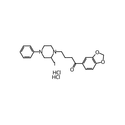 Cl.Cl.O=C(CCCN1CCN(c2ccccc2)CC1I)c1ccc2c(c1)OCO2